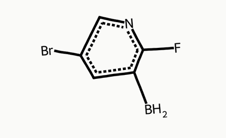 Bc1cc(Br)cnc1F